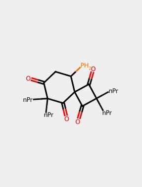 CCCC1(CCC)C(=O)CC(P)C2(C1=O)C(=O)C(CCC)(CCC)C2=O